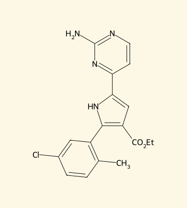 CCOC(=O)c1cc(-c2ccnc(N)n2)[nH]c1-c1cc(Cl)ccc1C